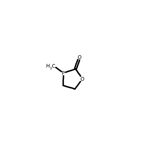 CP1CCOC1=O